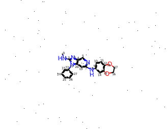 CNc1nc2cnc(Nc3ccc4c(c3)OCCO4)cc2n1-c1ccccc1